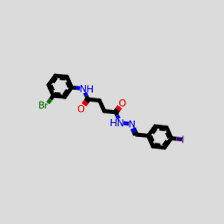 O=C(CCC(=O)Nc1cccc(Br)c1)N/N=C/c1ccc(I)cc1